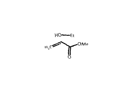 C=CC(=O)OC.CCO